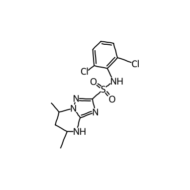 CC1CC(C)n2nc(S(=O)(=O)Nc3c(Cl)cccc3Cl)nc2N1